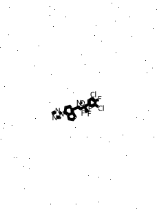 Fc1c(Cl)cc(C2(C(F)(F)F)CC(c3ccc(-n4cncn4)c4c3CCC4)=NO2)cc1Cl